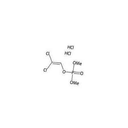 COP(=O)(OC)OC=C(Cl)Cl.Cl.Cl